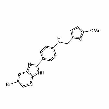 COc1ccc(CNc2ccc(-c3nc4cc(Br)cnc4[nH]3)cc2)o1